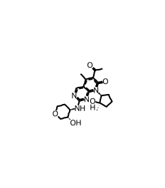 CC(=O)c1c(C)c2cnc(N[C@@H]3CCOC[C@H]3O)nc2n([C@H]2CCC[C@@]2(C)O)c1=O